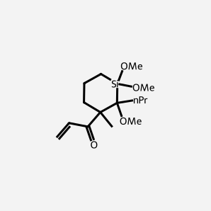 C=CC(=O)C1(C)CCC[Si](OC)(OC)C1(CCC)OC